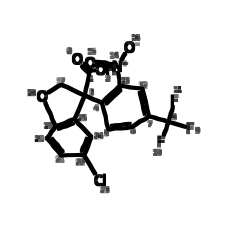 O=C(O)C1(c2ccc(C(F)(F)F)cc2[N+](=O)[O-])COc2ccc(Cl)cc21